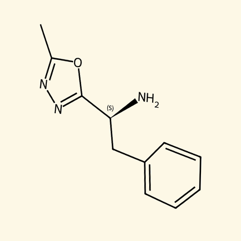 Cc1nnc([C@@H](N)Cc2ccccc2)o1